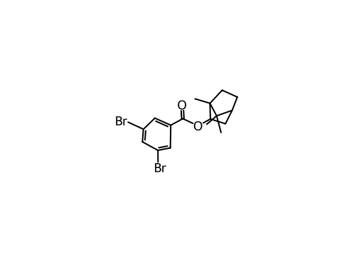 CC1(C)C2CCC1(C)C(OC(=O)c1cc(Br)cc(Br)c1)C2